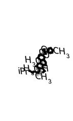 Cc1ccc(S(=O)(=O)O[C@H]2CC[C@@]3(C)C(=CC[C@@H]4C3CC[C@@]3(C)C4CC[C@@H]3[C@H](C)CCCC(C)C)C2)cc1